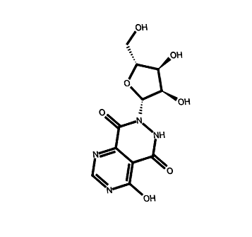 O=c1[nH]n([C@@H]2O[C@H](CO)[C@@H](O)[C@H]2O)c(=O)c2ncnc(O)c12